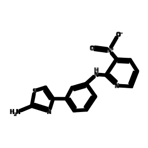 Nc1nc(-c2cccc(Nc3ncccc3[N+](=O)[O-])c2)cs1